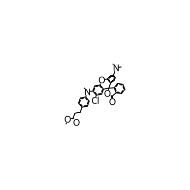 COC(=O)CCc1ccc(N(C)c2cc3c(cc2Cl)C2(OC(=O)c4ccccc42)c2ccc(N(C)C)cc2O3)cc1